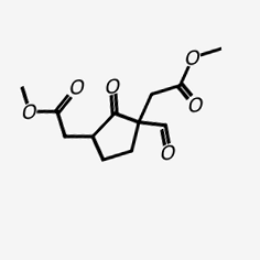 COC(=O)CC1CCC(C=O)(CC(=O)OC)C1=O